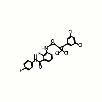 O=C(Nc1ccc(F)cc1)c1cccc(NC2OC2C2C(c3cc(Cl)cc(Cl)c3)C2(Cl)Cl)c1F